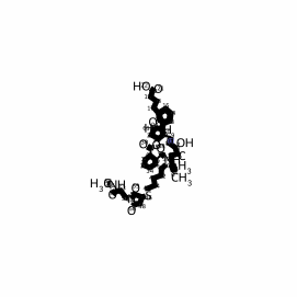 CC#CC[C@@H](C)[C@H](O)/C=C/[C@@H]1[C@H]2c3cccc(CCCC(=O)O)c3O[C@H]2C[C@H]1OC(=O)[C@@H]1CCCC[C@@H]1C(=O)NCCCCCCSC1CC(=O)N(CCC(=O)NC)C1=O